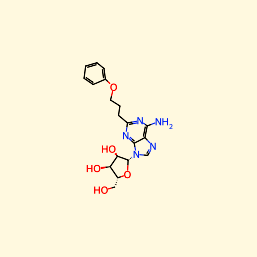 Nc1nc(CCCOc2ccccc2)nc2c1ncn2[C@@H]1O[C@H](CO)[C@@H](O)[C@H]1O